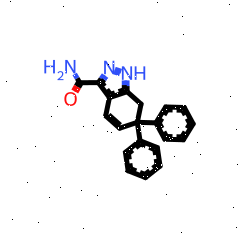 NC(=O)c1n[nH]c2c1C=CC(c1ccccc1)(c1ccccc1)C2